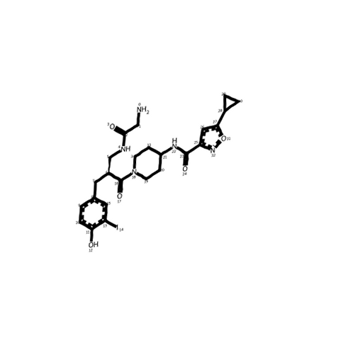 NCC(=O)NC[C@H](Cc1ccc(O)c(I)c1)C(=O)N1CCC(NC(=O)c2cc(C3CC3)on2)CC1